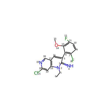 CCn1c(=N)c(-c2c(F)ccc(F)c2OC)cc2cnc(Cl)cc21